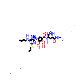 CCCCNc1nc(SCCC)nc2c1nnn2[C@@H]1C[C@H](C(=O)NC(CCC(N)=O)C(=O)NC)[C@@H](O)[C@H]1O